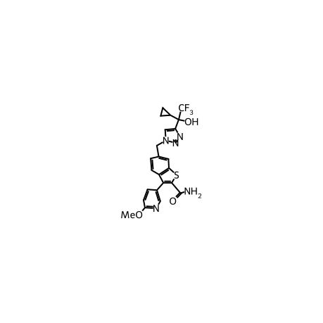 COc1ccc(-c2c(C(N)=O)sc3cc(Cn4cc(C(O)(C5CC5)C(F)(F)F)nn4)ccc23)cn1